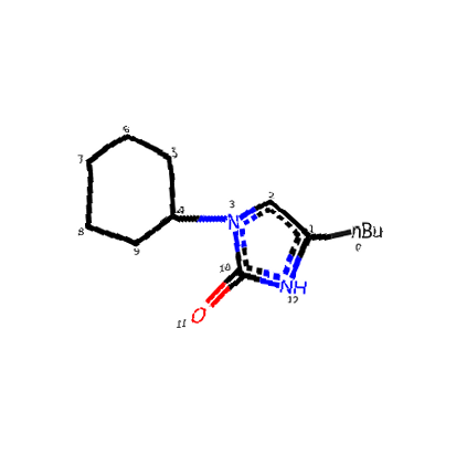 CCCCc1cn(C2CCCCC2)c(=O)[nH]1